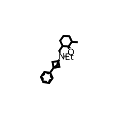 CCN(CC1CCCC(C)C1=O)C12CC(c3ccccc3)(C1)C2